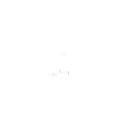 Oc1ccccc1-c1nnc2c3c(ccc2c1Cl)CCC3